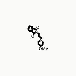 COC1CCN(CCCN2C(=O)c3ccccc3C2=O)CC1